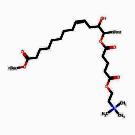 CCCCCCCCCCOC(=O)CCCCCCC/C=C\CC(O)C(CCCCC)OC(=O)CCCC(=O)OCC[N+](C)(C)C